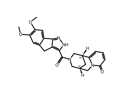 COc1cc2c(cc1OC)-c1n[nH]c(C(=O)N3C[C@@H]4C[C@H](C3)c3cccc(=O)n3C4)c1C2